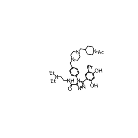 CCN(CC)CCNC(=O)c1nnc(-c2cc(C(C)C)c(O)cc2O)n1-c1ccc(CN2CCN(CC3CCN(C(C)=O)CC3)CC2)cc1